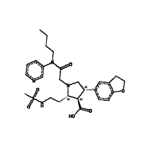 CCCCN(C(=O)CN1C[C@H](c2ccc3c(c2)CCO3)[C@@H](C(=O)O)[C@@H]1CCNS(C)(=O)=O)c1cccnc1